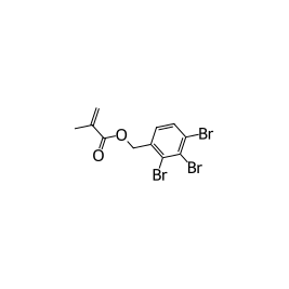 C=C(C)C(=O)OCc1ccc(Br)c(Br)c1Br